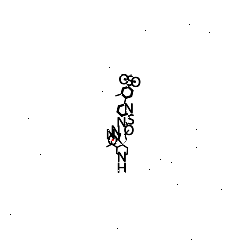 Cc1cc(S(C)(=O)=O)ccc1-c1ccc2nc(OCC[C@]3(c4cnno4)CCNCC3C(C)C)sc2n1